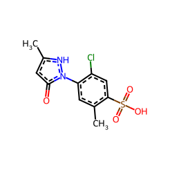 Cc1cc(=O)n(-c2cc(C)c(S(=O)(=O)O)cc2Cl)[nH]1